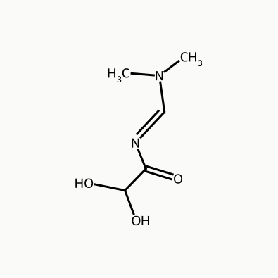 CN(C)C=NC(=O)C(O)O